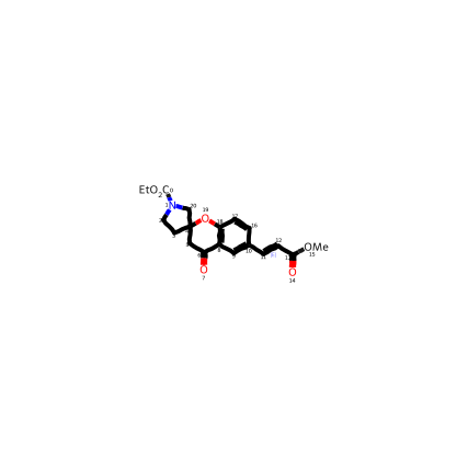 CCOC(=O)N1CCC2(CC(=O)c3cc(/C=C/C(=O)OC)ccc3O2)C1